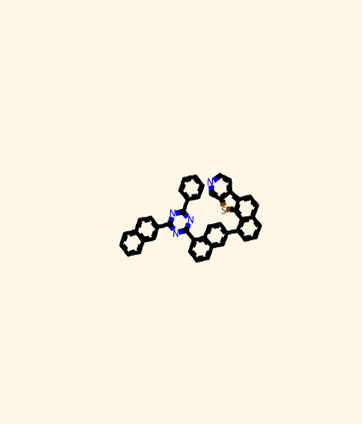 c1ccc(-c2nc(-c3ccc4ccccc4c3)nc(-c3cccc4cc(-c5cccc6ccc7c8ccncc8sc7c56)ccc34)n2)cc1